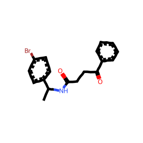 CC(NC(=O)CCC(=O)c1ccccc1)c1ccc(Br)cc1